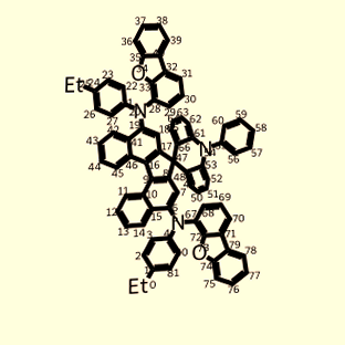 CCc1ccc(N(c2cc3c(c4ccccc24)-c2c(cc(N(c4ccc(CC)cc4)c4cccc5c4oc4ccccc45)c4ccccc24)C32c3ccccc3N(c3ccccc3)c3ccccc32)c2cccc3c2oc2ccccc23)cc1